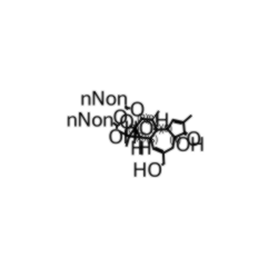 CCCCCCCCCC(=O)O[C@@H]1[C@@H](C)[C@@]2(O)[C@@H](C=C(CO)C[C@]3(O)C(=O)C(C)=C[C@@H]23)[C@@H]2C(C)(C)[C@]12OC(O)CCCCCCCCC